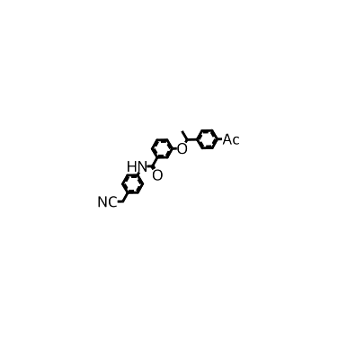 CC(=O)c1ccc(C(C)Oc2cccc(C(=O)Nc3ccc(CC#N)cc3)c2)cc1